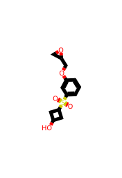 O=S(=O)(c1cccc(OCC2CO2)c1)C1CC(O)C1